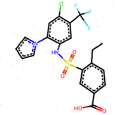 CCc1ccc(C(=O)O)cc1S(=O)(=O)Nc1cc(C(F)(F)F)c(Cl)cc1-n1cccc1